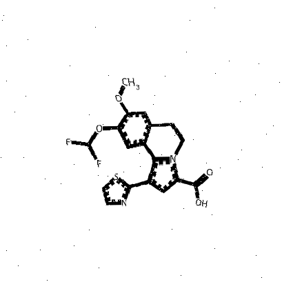 COc1cc2c(cc1OC(F)F)-c1c(-c3nccs3)cc(C(=O)O)n1CC2